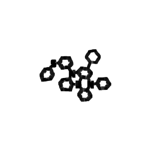 c1ccc(Sc2cccc(N3c4ccccc4B4c5ccccc5N(c5ccccc5)c5cc(C6CCCCC6)cc3c54)c2)cc1